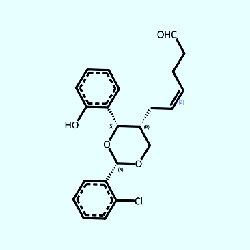 O=CCC/C=C\C[C@@H]1CO[C@H](c2ccccc2Cl)O[C@@H]1c1ccccc1O